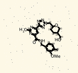 COc1cc(CNC(=O)c2cc(-c3nnn(CC4CCC(CO)CO4)n3)nc(C)n2)ccc1F